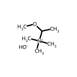 COC(C)[N+](C)(C)C.[OH-]